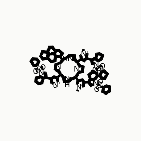 C[n+]1cc(-c2c3nc(c(-c4cc(-c5cn(S(=O)(=O)c6ccccc6)c6ccccc56)c[n+](C)c4)c4ccc([nH]4)c(-c4ccc5ccc6cccc7ccc4c5c67)c4nc(c(-c5cc(-c6cn(S(=O)(=O)c7ccccc7)c7ccccc67)c[n+](C)c5)c5ccc2[nH]5)C=C4)C=C3)cc(-c2cn(S(=O)(=O)c3ccccc3)c3ccccc23)c1